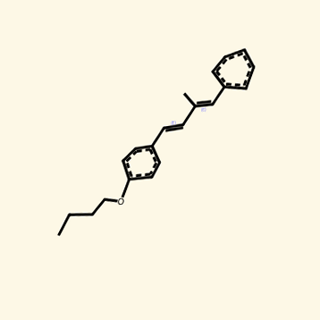 CCCCOc1ccc(/C=C/C(C)=C/c2ccccc2)cc1